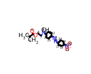 C=C(C)C(=O)OCCN(C)c1ccc(/N=N/c2ccc([N+](=O)[O-])cc2)cc1